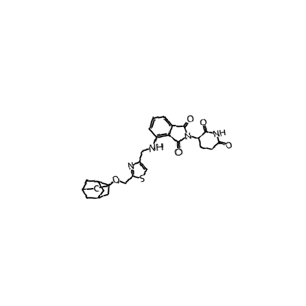 O=C1CCC(N2C(=O)c3cccc(NCc4csc(COC56CC7CC(CC5C7)C6)n4)c3C2=O)C(=O)N1